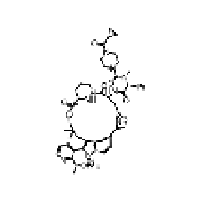 CCn1c(-c2cccnc2[C@H](C)OC)c2c3cc(ccc31)-c1csc(n1)C[C@H](NC(=O)[C@H](C(C)C)N(C)C(=O)N1CCN(C(=O)C3CC3)CC1)C(=O)N1CCC[C@H](N1)C(=O)OCC(C)(C)C2